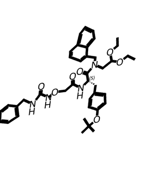 CCOC(CN(Cc1cccc2ccccc12)C(=O)[C@H](Cc1ccc(OC(C)(C)C)cc1)NC(=O)CONC(=O)NCc1ccccc1)OCC